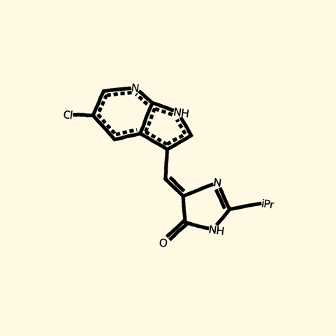 CC(C)C1=NC(=Cc2c[nH]c3ncc(Cl)cc23)C(=O)N1